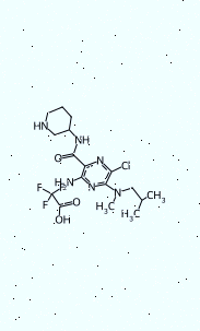 CC(C)CN(C)c1nc(N)c(C(=O)NC2CCCNC2)nc1Cl.O=C(O)C(F)(F)F